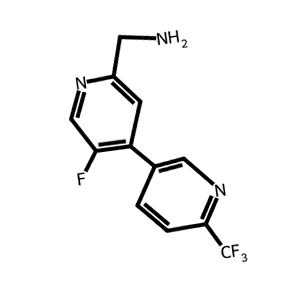 NCc1cc(-c2ccc(C(F)(F)F)nc2)c(F)cn1